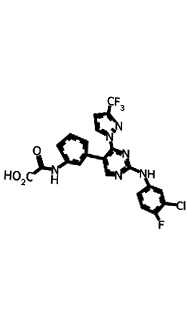 O=C(O)C(=O)Nc1cccc(-c2cnc(Nc3ccc(F)c(Cl)c3)nc2-n2ccc(C(F)(F)F)n2)c1